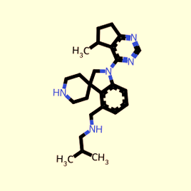 CC(C)CNCc1cccc2c1C1(CCNCC1)CN2c1ncnc2c1C(C)CC2